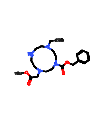 CCCCOC(=O)CN1CCNCCN(CC=O)CCN(C(=O)OCc2ccccc2)CC1